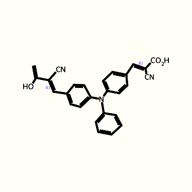 C=C(O)/C(C#N)=C/c1ccc(N(c2ccccc2)c2ccc(/C=C(\C#N)C(=O)O)cc2)cc1